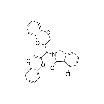 O=C1c2c(Cl)cccc2CN1C(C1=COc2ccccc2O1)C1=COc2ccccc2O1